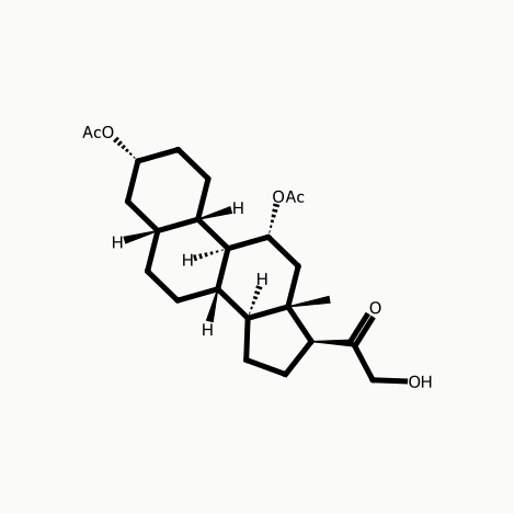 CC(=O)O[C@@H]1CC[C@H]2[C@H](CC[C@@H]3[C@@H]2[C@H](OC(C)=O)C[C@]2(C)[C@@H](C(=O)CO)CC[C@@H]32)C1